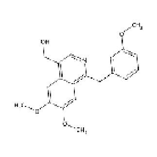 COc1cccc(Cc2ncc(CO)c3cc(OC)c(OC)cc23)c1